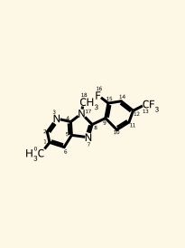 Cc1cnc2c(c1)nc(-c1ccc(C(F)(F)F)cc1F)n2C